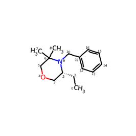 CC[C@@H]1COCC(C)(C)N1Cc1ccccc1